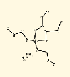 CCCC[N+](CCCC)(CCCC)CCCC.I.N